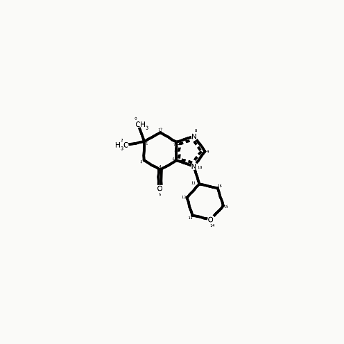 CC1(C)CC(=O)c2c(ncn2C2CCOCC2)C1